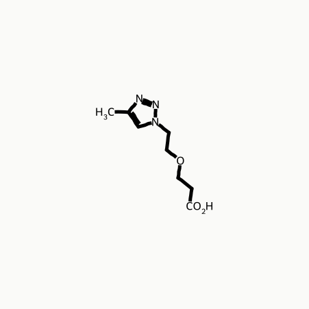 Cc1cn(CCOCCC(=O)O)nn1